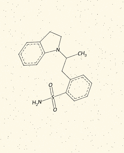 CC(Cc1ccccc1S(N)(=O)=O)N1CCc2ccccc21